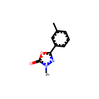 Cc1cccc(-c2nn(C(C)C)c(=O)o2)c1